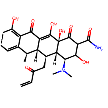 C=CC(=O)C[C@H]1[C@H]2C(=C(O)[C@]3(O)C(=O)C(C(N)=O)C(O)[C@@H](N(C)C)[C@H]13)C(=O)c1c(O)cccc1[C@@H]2C